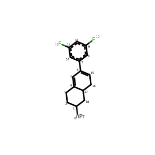 CCCC1CCC2=CC(c3cc(F)cc(F)c3)=CCC2C1